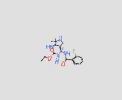 CCOC(=O)N/C(NC(=O)c1ccccc1F)=C1/CNC(C)(C)C1=N